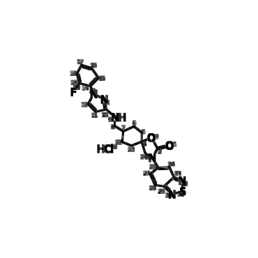 Cl.O=C1OC2(CCC(CNc3ccn(-c4ccccc4F)n3)CC2)CN1c1ccc2nsnc2c1